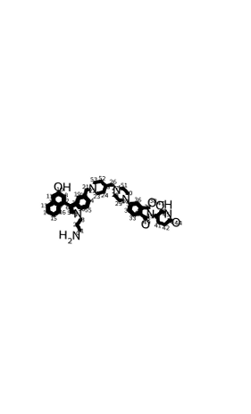 NCCCn1cc(-c2cc(O)cc3ccccc23)c2cc(CN3CCC(CN4CCN(c5ccc6c(c5)C(=O)N(C5CCC(=O)NC5=O)C6=O)CC4)CC3)ccc21